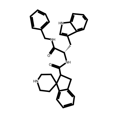 O=C(N[C@@H](Cc1c[nH]c2ccccc12)C(=O)NCc1ccccc1)C1Cc2ccccc2C12CCNCC2